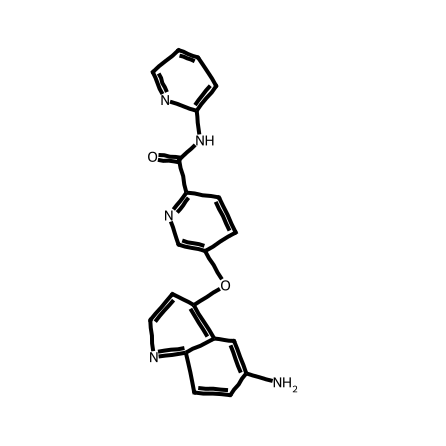 Nc1ccc2nccc(Oc3ccc(C(=O)Nc4ccccn4)nc3)c2c1